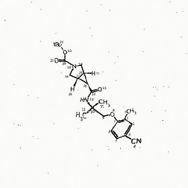 Cc1cc(C#N)ccc1OCC(C)(C)NC(=O)[C@H]1[C@@H]2CN(C(=O)OC(C)(C)C)C[C@@H]21